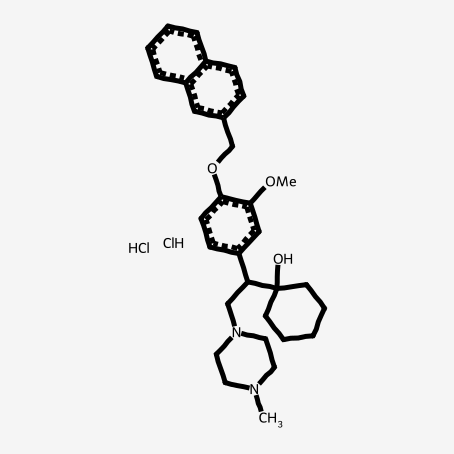 COc1cc(C(CN2CCN(C)CC2)C2(O)CCCCC2)ccc1OCc1ccc2ccccc2c1.Cl.Cl